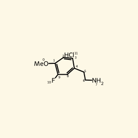 COc1ccc(CCN)cc1F.Cl